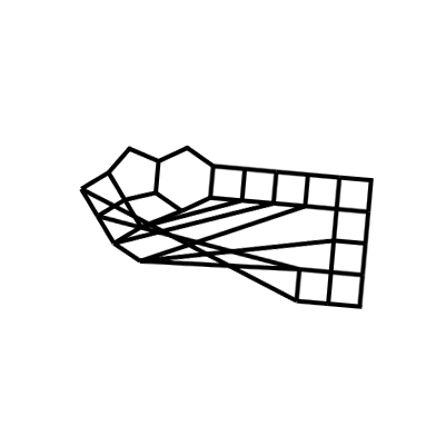 C1C2CC3C4C5C6CC7C8C9CC%10C%11C%12C%13C1C1C%14C2C32C%143C1%13C%121C%11%12C9%10C89C76C56C42C31C96%12